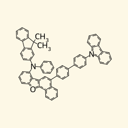 CC1(C)c2ccccc2-c2ccc(N(c3ccccc3)c3cccc4oc5c6ccccc6c(-c6ccc(-c7ccc(-n8c9ccccc9c9ccccc98)cc7)cc6)cc5c34)cc21